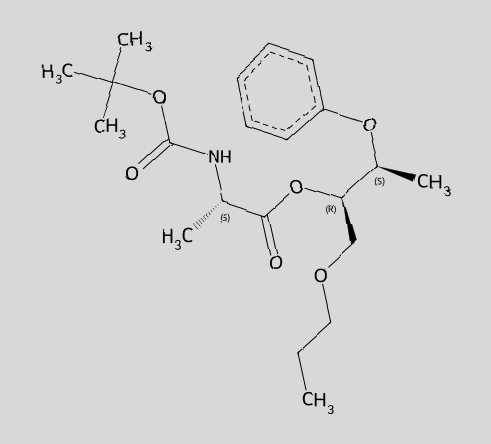 CCCOC[C@@H](OC(=O)[C@H](C)NC(=O)OC(C)(C)C)[C@H](C)Oc1ccccc1